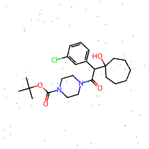 CC(C)(C)OC(=O)N1CCN(C(=O)C(c2cccc(Cl)c2)C2(O)CCCCCC2)CC1